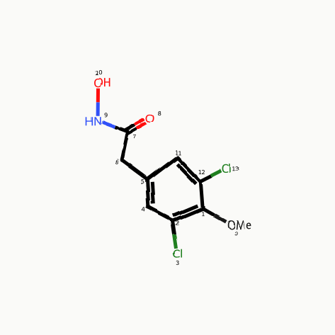 COc1c(Cl)cc(CC(=O)NO)cc1Cl